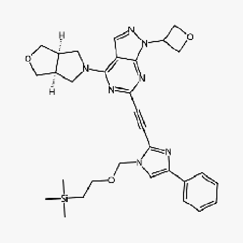 C[Si](C)(C)CCOCn1cc(-c2ccccc2)nc1C#Cc1nc(N2C[C@H]3COC[C@H]3C2)c2cnn(C3COC3)c2n1